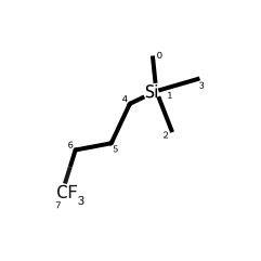 C[Si](C)(C)CCCC(F)(F)F